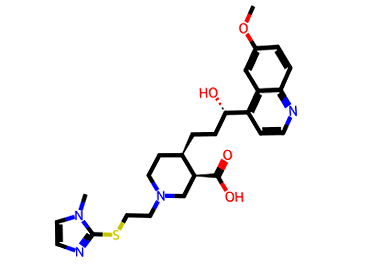 COc1ccc2nccc([C@@H](O)CC[C@@H]3CCN(CCSc4nccn4C)C[C@@H]3C(=O)O)c2c1